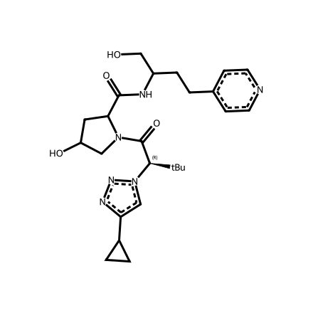 CC(C)(C)[C@H](C(=O)N1CC(O)CC1C(=O)NC(CO)CCc1ccncc1)n1cc(C2CC2)nn1